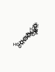 O=C(O)c1ccc(N2CCN(c3ccc(NC(=O)c4cn(-c5ccccn5)nc4F)cn3)CC2)cc1